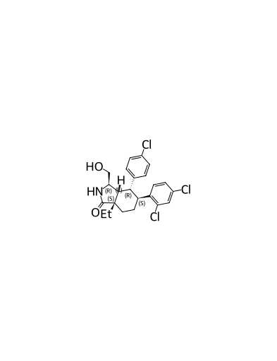 CC[C@]12CC[C@H](c3ccc(Cl)cc3Cl)[C@@H](c3ccc(Cl)cc3)[C@H]1[C@H](CO)NC2=O